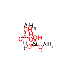 O=[Si](O)O.O=[Si](O)O.[AlH3].[AlH3].[LiH]